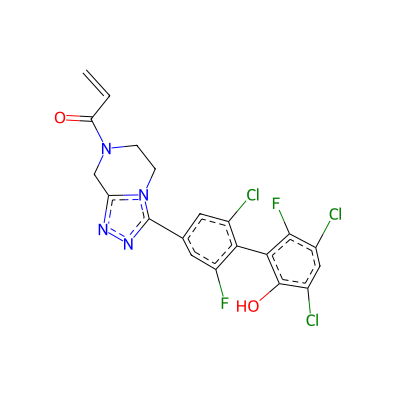 C=CC(=O)N1CCn2c(nnc2-c2cc(F)c(-c3c(O)c(Cl)cc(Cl)c3F)c(Cl)c2)C1